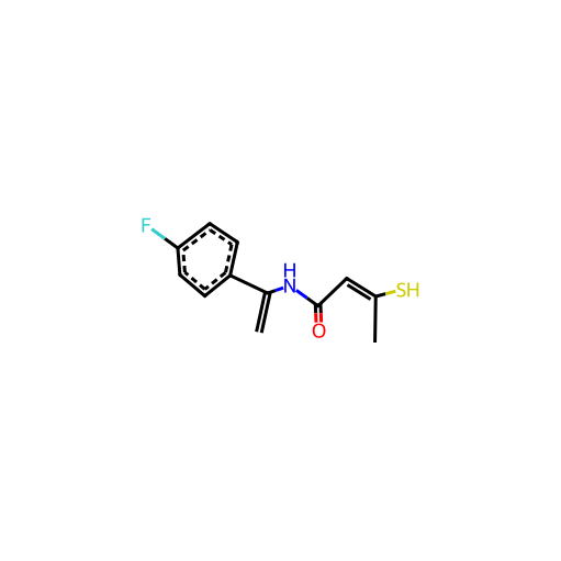 C=C(NC(=O)/C=C(\C)S)c1ccc(F)cc1